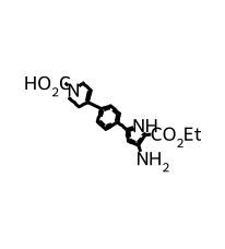 CCOC(=O)c1[nH]c(-c2ccc(C3=CCN(C(=O)O)CC3)cc2)cc1N